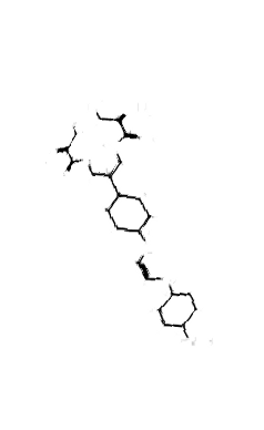 C=C(CO)C(=O)OCC(COC(=O)C(=C)CO)C1CCC(O/C=C\OC2CCC(CCCCC)CC2)CC1